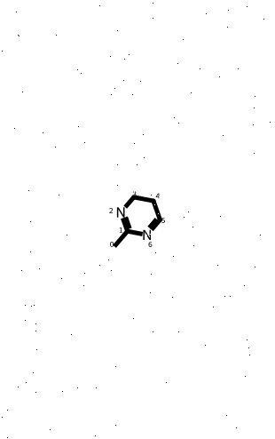 CC1=NCCC=N1